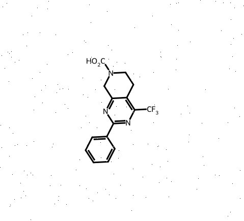 O=C(O)N1CCc2c(nc(-c3ccccc3)nc2C(F)(F)F)C1